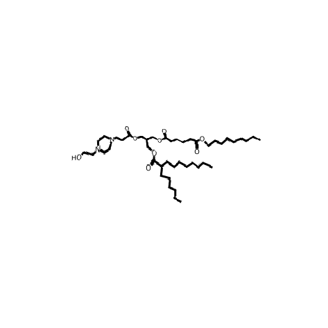 CCCCCCCCCOC(=O)CCCCC(=O)OCC(COC(=O)CCN1CCN(CCO)CC1)COC(=O)C(CCCCCC)CCCCCCCC